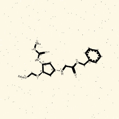 COCO[C@@H]1C[C@@H](NCC(=O)OCc2ccccc2)C[C@H]1NC(=O)OC(C)(C)C